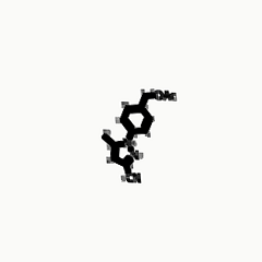 CC(=O)OCc1ccc(-n2nc(C#N)cc2C)cc1